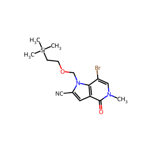 Cn1cc(Br)c2c(cc(C#N)n2COCC[Si](C)(C)C)c1=O